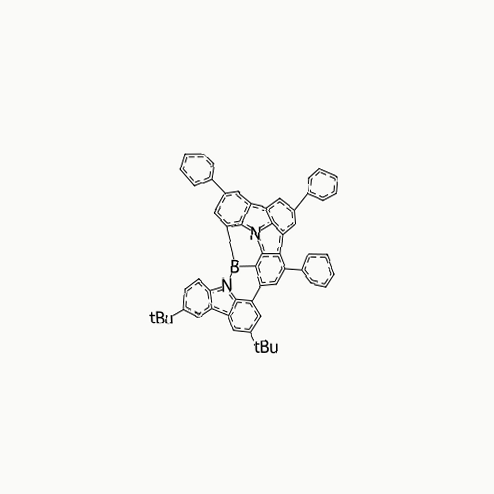 CC(C)(C)c1ccc2c(c1)c1cc(C(C)(C)C)cc3c1n2B1c2cc(-c4ccccc4)cc4c5cc(-c6ccccc6)cc6c7c(-c8ccccc8)cc-3c1c7n(c24)c56